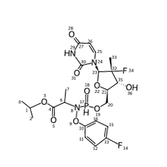 CC(C)OC(=O)C(C)N(Oc1ccc(F)cc1)[PH](=O)OC[C@H]1O[C@@H](n2ccc(=O)[nH]c2=O)[C@](C)(F)[C@@H]1O